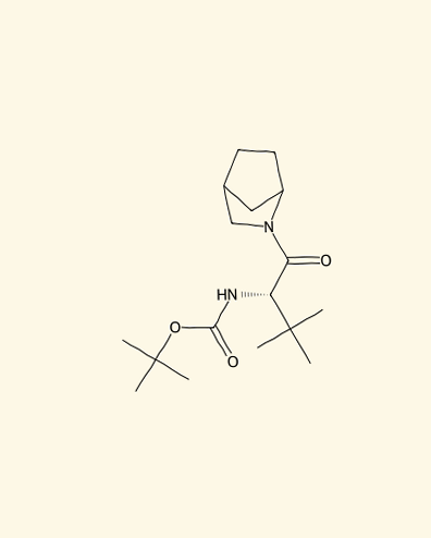 CC(C)(C)OC(=O)N[C@H](C(=O)N1CC2CCC1C2)C(C)(C)C